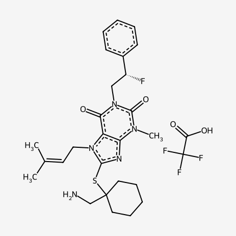 CC(C)=CCn1c(SC2(CN)CCCCC2)nc2c1c(=O)n(C[C@@H](F)c1ccccc1)c(=O)n2C.O=C(O)C(F)(F)F